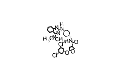 CN(C)c1nc(N[C@H]2CC[C@@H](CNC(=O)c3coc(Oc4cc(Cl)cc(Cl)c4)c3)CC2)nc2ccccc12